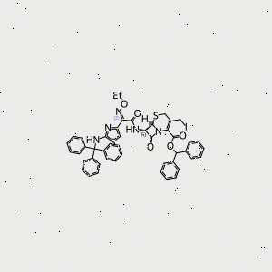 CCO/N=C(\C(=O)N[C@@H]1C(=O)N2C(C(=O)OC(c3ccccc3)c3ccccc3)=C(CI)CS[C@H]12)c1csc(NC(c2ccccc2)(c2ccccc2)c2ccccc2)n1